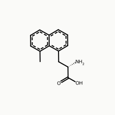 Cc1cccc2cccc(C[C@H](N)C(=O)O)c12